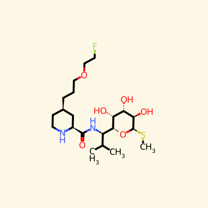 CS[C@H]1O[C@H]([C@H](NC(=O)[C@@H]2C[C@H](CCCOCCF)CCN2)C(C)C)[C@H](O)[C@H](O)[C@H]1O